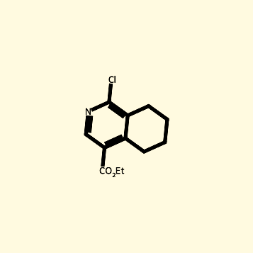 CCOC(=O)c1cnc(Cl)c2c1CCCC2